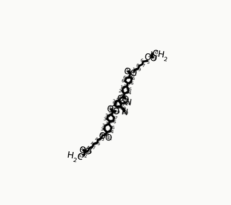 C=CC(=O)OCCCCCCOC(=O)C1CCC(C2CCC(C(=O)Oc3ccc(OC(=O)C4CCC(C5CCC(C(=O)OCCCCCCOC(=O)C=C)CC5)CC4)c(C#N)c3C#N)CC2)CC1